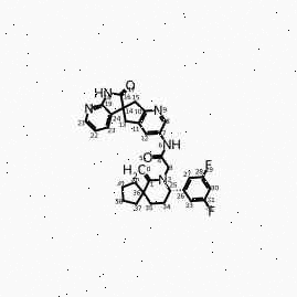 C=C1N(CC(=O)Nc2cnc3c(c2)CC2(C3)C(=O)Nc3ncccc32)[C@H](c2cc(F)cc(F)c2)CCC12CCCC2